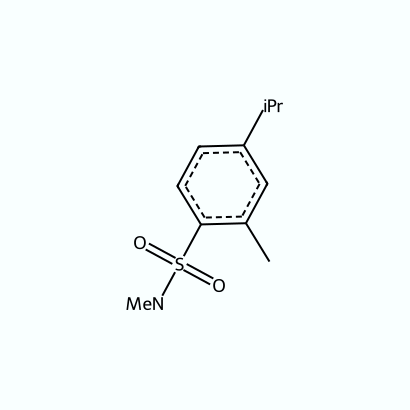 CNS(=O)(=O)c1ccc(C(C)C)cc1C